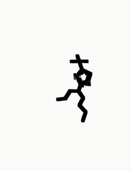 CCCCC(CCC)n1ncc(C(C)(C)C)n1